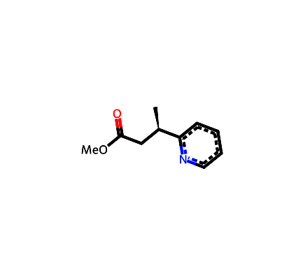 COC(=O)C[C@@H](C)c1ccccn1